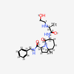 CC[C@H](NCCO)C(=O)N[C@H]1CCC[C@H]2CC[C@@H](C(=O)NCc3ccccc3)N2C1=O